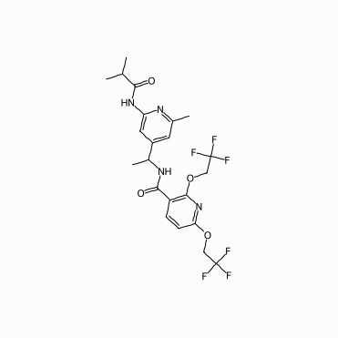 Cc1cc(C(C)NC(=O)c2ccc(OCC(F)(F)F)nc2OCC(F)(F)F)cc(NC(=O)C(C)C)n1